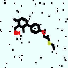 CCSCCOc1ccc(-c2ccc(C)c(CO)c2C)cc1